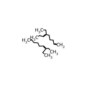 C=CCCCC(=CCC)CC.C=CCCCC=C(CC)CC